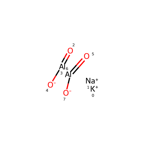 [K+].[Na+].[O]=[Al][O-].[O]=[Al][O-]